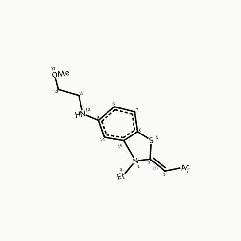 CCN1/C(=C/C(C)=O)Sc2ccc(NCCOC)cc21